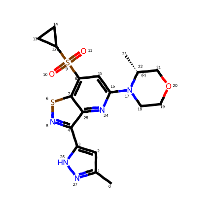 Cc1cc(-c2nsc3c(S(=O)(=O)C4CC4)cc(N4CCOC[C@H]4C)nc23)[nH]n1